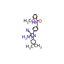 COc1ccccc1C(=O)NCc1ccc(-c2nn(C3CCC(C)(C)CC3)c(N)c2C#N)cc1